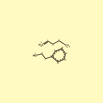 C=CCCC.OCCc1ccccc1